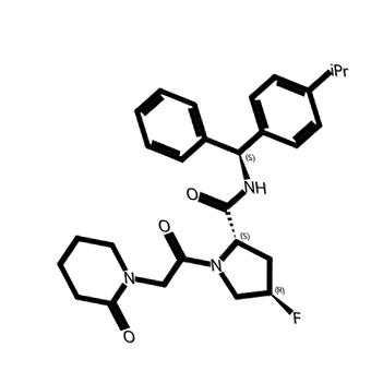 CC(C)c1ccc([C@@H](NC(=O)[C@@H]2C[C@@H](F)CN2C(=O)CN2CCCCC2=O)c2ccccc2)cc1